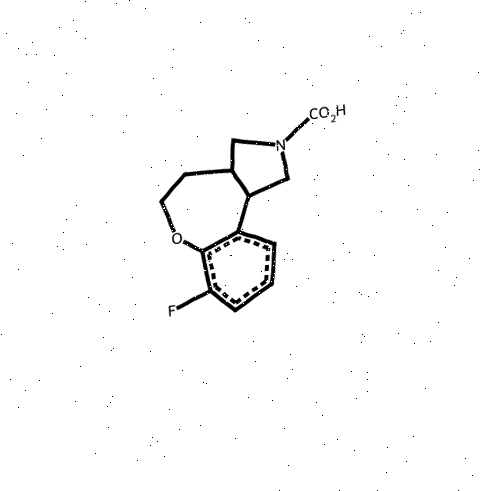 O=C(O)N1CC2CCOc3c(F)cccc3C2C1